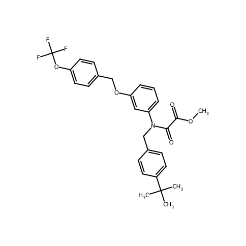 COC(=O)C(=O)N(Cc1ccc(C(C)(C)C)cc1)c1cccc(OCc2ccc(OC(F)(F)F)cc2)c1